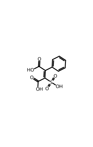 O=C(O)C(=C(C(=O)O)S(=O)(=O)O)c1ccccc1